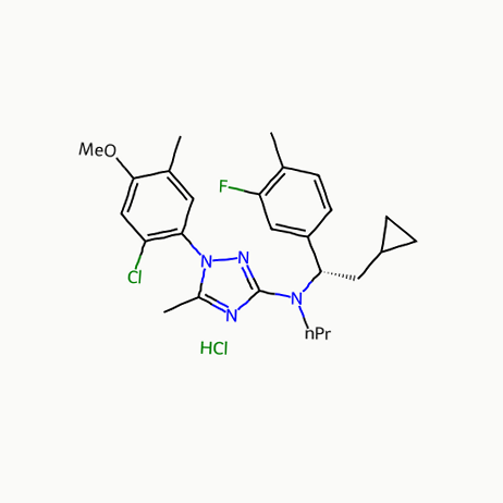 CCCN(c1nc(C)n(-c2cc(C)c(OC)cc2Cl)n1)[C@@H](CC1CC1)c1ccc(C)c(F)c1.Cl